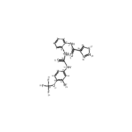 O=C(Nc1ccccc1NC(=S)Nc1ccc(OC(F)(F)F)c(Br)c1)c1csnn1